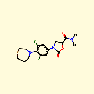 CCN(CC)C(=O)C1CN(c2cc(F)c(N3CCCSCC3)c(F)c2)C(=O)O1